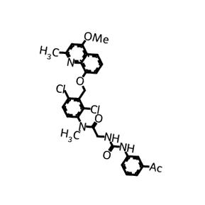 COc1cc(C)nc2c(OCc3c(Cl)ccc(N(C)C(=O)CNC(=O)Nc4cccc(C(C)=O)c4)c3Cl)cccc12